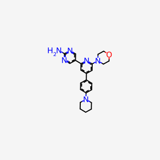 Nc1ncc(-c2cc(-c3ccc(N4CCCCC4)cc3)cc(N3CCOCC3)n2)cn1